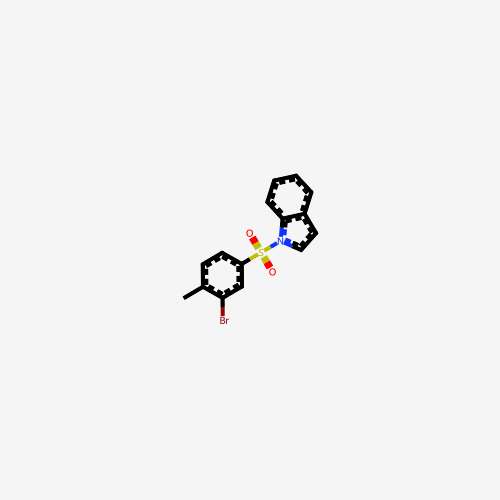 Cc1ccc(S(=O)(=O)n2ccc3ccccc32)cc1Br